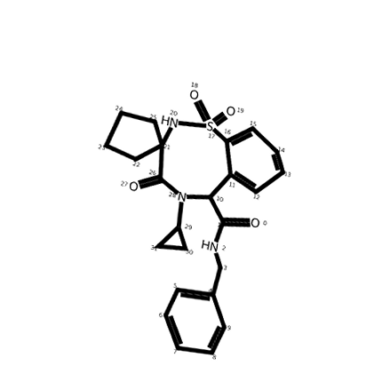 O=C(NCc1ccccc1)C1c2ccccc2S(=O)(=O)NC2(CCCC2)C(=O)N1C1CC1